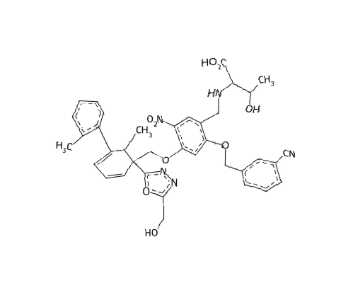 Cc1ccccc1C1=CC=CC(COc2cc(OCc3cccc(C#N)c3)c(CNC(C(=O)O)C(C)O)cc2[N+](=O)[O-])(c2nnc(CO)o2)C1C